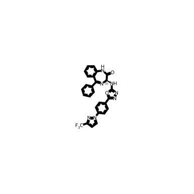 O=C1Nc2ccccc2C(c2ccccc2)=N[C@@H]1Nc1nnc(-c2ccc(-n3ccc(C(F)(F)F)n3)cc2)o1